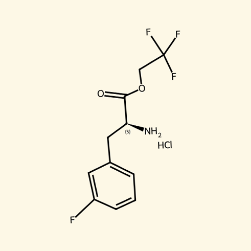 Cl.N[C@@H](Cc1cccc(F)c1)C(=O)OCC(F)(F)F